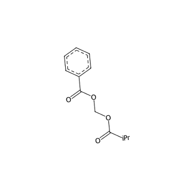 CC(C)C(=O)OCOC(=O)c1ccccc1